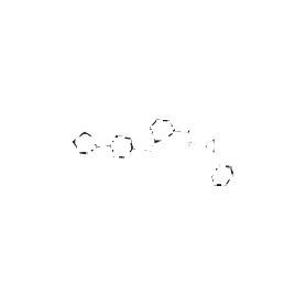 O=C(N[C@@H]1C[C@H]1c1ccccc1)c1cccc(Nc2ccc(-c3ccccc3)nn2)c1